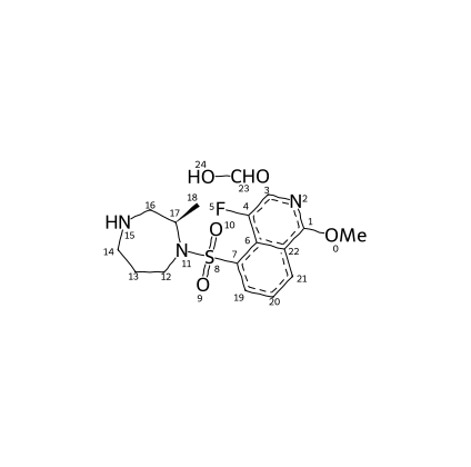 COc1ncc(F)c2c(S(=O)(=O)N3CCCNC[C@H]3C)cccc12.O=CO